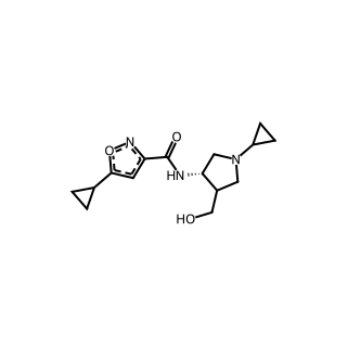 O=C(N[C@@H]1CN(C2CC2)CC1CO)c1cc(C2CC2)on1